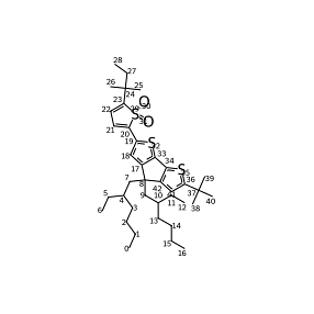 CCCCC(CC)CC1(CC(CC)CCCC)c2cc(C3=CC=C(C(C)(C)CC)S3(=O)=O)sc2-c2sc(C(C)(C)C)cc21